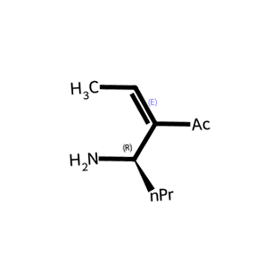 C/C=C(/C(C)=O)[C@H](N)CCC